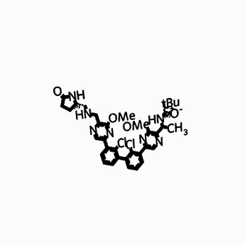 COc1nc(-c2cccc(-c3cccc(-c4cnc(C(C)N[S@+]([O-])C(C)(C)C)c(OC)n4)c3Cl)c2Cl)cnc1CNC[C@@H]1CCC(=O)N1